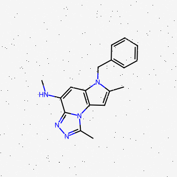 CNc1cc2c(cc(C)n2Cc2ccccc2)n2c(C)nnc12